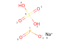 O=P[O-].O=S(=O)(O)O.[Na+]